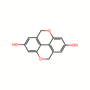 Oc1cc2c3c(c1)OCc1cc(O)cc(c1-3)OC2